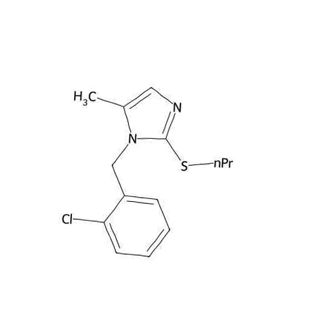 CCCSc1ncc(C)n1Cc1ccccc1Cl